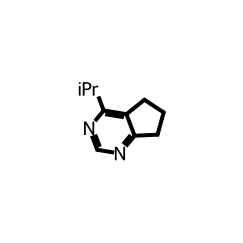 CC(C)c1ncnc2c1CCC2